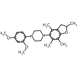 COc1ccc(N2CCN(c3c(C)c(C)c4c(c3C)CC(C)O4)CC2)c(OC)c1